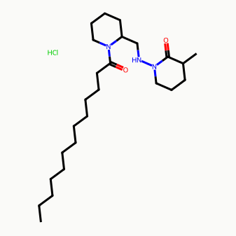 CCCCCCCCCCCCC(=O)N1CCCCC1CNN1CCCC(C)C1=O.Cl